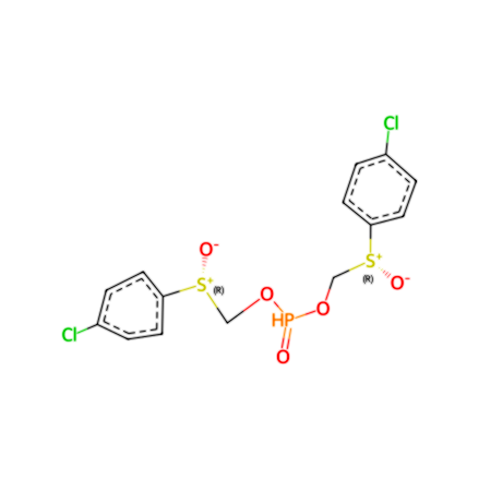 O=[PH](OC[S@@+]([O-])c1ccc(Cl)cc1)OC[S@@+]([O-])c1ccc(Cl)cc1